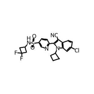 N#Cc1c(-c2ccc(S(=O)(=O)NC3CC(F)(F)C3)cn2)n(C2CCC2)c2cc(Cl)ccc12